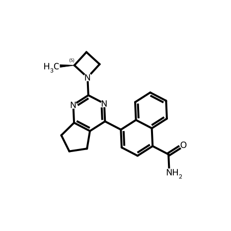 C[C@H]1CCN1c1nc2c(c(-c3ccc(C(N)=O)c4ccccc34)n1)CCC2